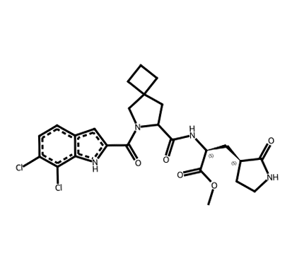 COC(=O)[C@H](C[C@@H]1CCNC1=O)NC(=O)C1CC2(CCC2)CN1C(=O)c1cc2ccc(Cl)c(Cl)c2[nH]1